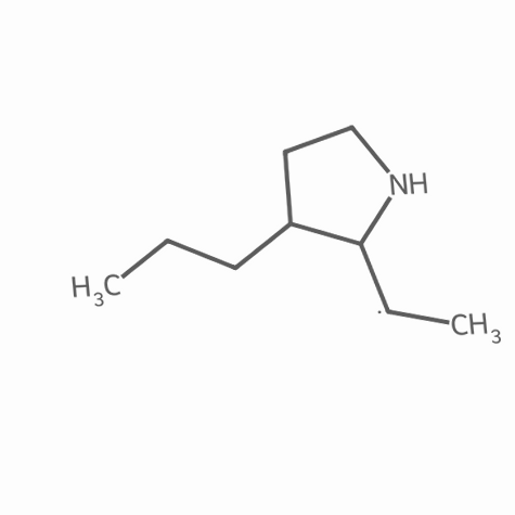 C[CH]C1NCCC1CCC